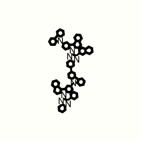 c1ccc(-c2nc3ccccc3nc2-n2c3ccc(-n4c5ccccc5c5cc(-c6ccc7nc(-n8c9ccc(-n%10c%11ccccc%11c%11ccccc%11%10)cc9c9c%10ccccc%10ccc98)c(-c8ccc9ccccc9c8)nc7c6)ccc54)cc3c3c4ccccc4ccc32)cc1